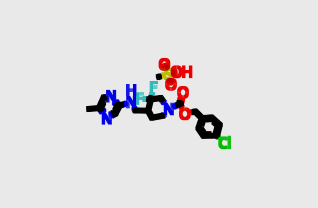 CS(=O)(=O)O.Cc1cnc(NCC2CCN(C(=O)OCc3ccc(Cl)cc3)CC2(F)F)cn1